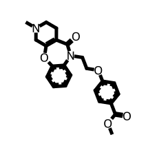 COC(=O)c1ccc(OCCN2C(=O)C3=C(CN(C)CC3)Oc3ccccc32)cc1